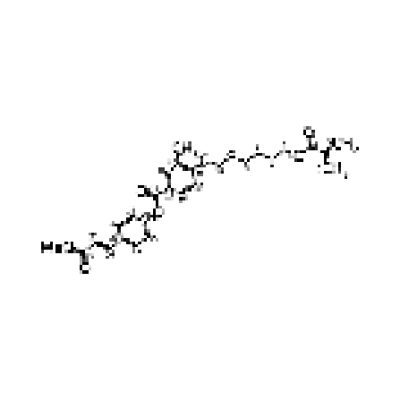 C=C(C)C(=O)OCCCCCCOc1ccc(C(=O)Oc2ccc(C=CC(=O)OC)cc2)cc1C